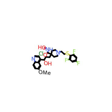 COc1ccc2ncc(Cl)c([C@H](O)CCC3(C(=O)NO)CCN(CCSc4c(F)cc(F)cc4F)CC3)c2c1